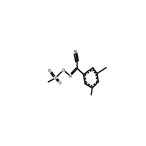 Cc1cc(C)cc(C(C#N)=NOS(C)(=O)=O)c1